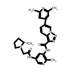 Cc1cc(-c2ccc3c(C(=O)Nc4cc(NC(=O)CN5CCC[C@@H]5C)cnc4C)nnn3c2)cc(C)n1